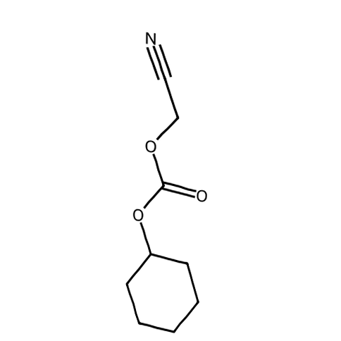 N#CCOC(=O)OC1CCCCC1